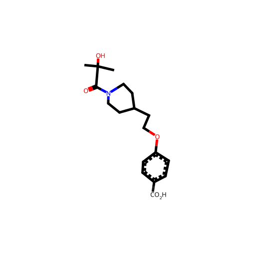 CC(C)(O)C(=O)N1CCC(CCOc2ccc(C(=O)O)cc2)CC1